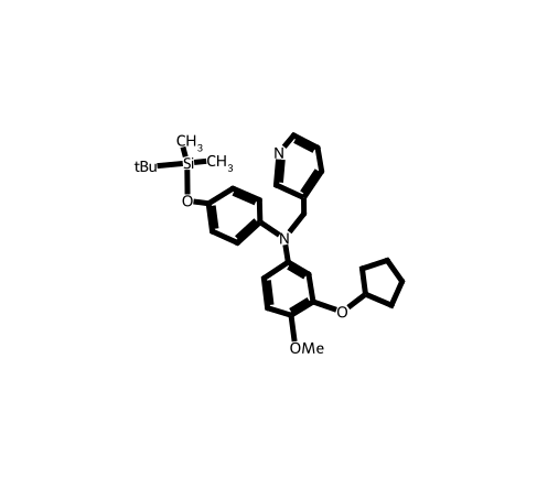 COc1ccc(N(Cc2cccnc2)c2ccc(O[Si](C)(C)C(C)(C)C)cc2)cc1OC1CCCC1